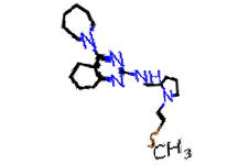 CSCCN1CCCC1CNc1nc2c(c(N3CCCCCC3)n1)CCCC2